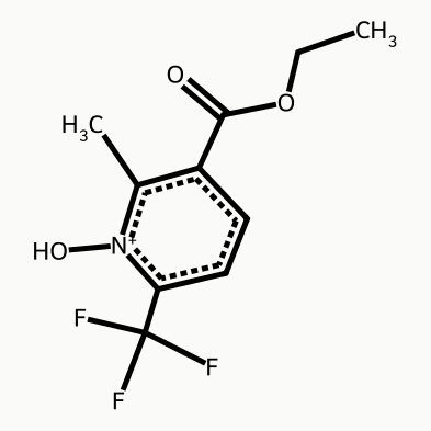 CCOC(=O)c1ccc(C(F)(F)F)[n+](O)c1C